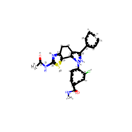 CNC(=O)c1ccc(-n2nc(-c3ccccc3)c3c2-c2sc(NC(C)=O)nc2CC3)c(Cl)c1